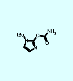 CC(C)(C)n1ccnc1OC(N)=O